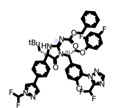 CC(C)(C)C[C@]1(c2ccc(-c3cnn(C(F)F)c3)cc2)N/C(=N/C(=O)OCc2ccccc2)N([C@H](COc2ccc(F)cc2F)c2ccc(Cl)c(-n3ncnc3C(F)F)c2)C1=O